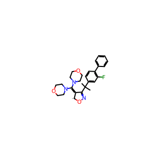 CC(C)(C1=NO[CH]C1=C(N1CCOCC1)N1CCOCC1)c1ccc(-c2ccccc2)c(F)c1